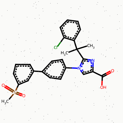 CC(C)(c1ccccc1Cl)c1nc(C(=O)O)cn1-c1ccc(-c2cccc(S(C)(=O)=O)c2)cc1